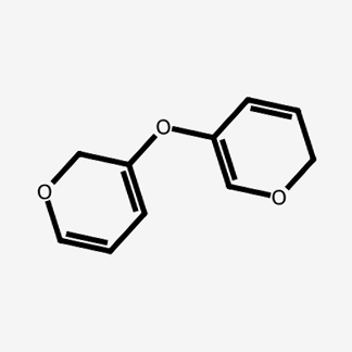 C1=COCC(OC2=COCC=C2)=C1